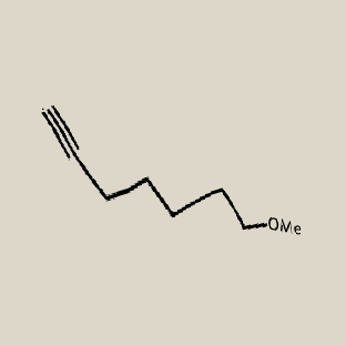 [C]#CCCCCCOC